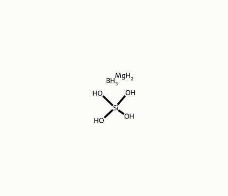 B.O[Si](O)(O)O.[MgH2]